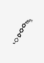 C=C[C@H]1CC[C@H](c2ccc(-c3ccc(-c4ccc(COCCC)cc4)cc3)cc2)CC1